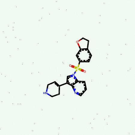 O=S(=O)(c1ccc2c(c1)OCC2)n1cc(C2=CCNCC2)c2ncccc21